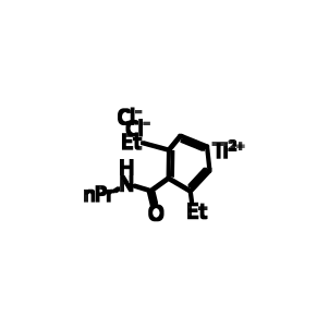 CCCNC(=O)c1c(CC)cccc1CC.[Cl-].[Cl-].[Ti+2]